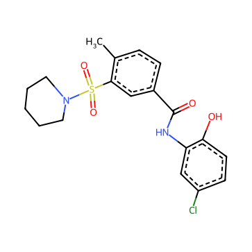 Cc1ccc(C(=O)Nc2cc(Cl)ccc2O)cc1S(=O)(=O)N1CCCCC1